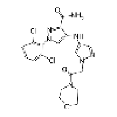 NC(=O)c1nn(-c2c(Cl)cccc2Cl)cc1Nc1cnn(CC(=O)N2CCOCC2)c1